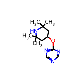 CC1(C)CC(Oc2ncncn2)CC(C)(C)N1